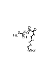 CCCCCCCCCCCCCCCC(=O)[P](=O)OC[C@@H](O)CO